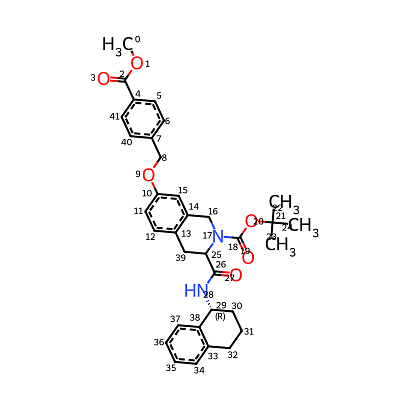 COC(=O)c1ccc(COc2ccc3c(c2)CN(C(=O)OC(C)(C)C)C(C(=O)N[C@@H]2CCCc4ccccc42)C3)cc1